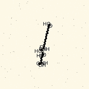 O=C(O)CCCCCCCCCCCCCCCCC(=O)N[C@H](CCC(=O)NCCCC[C@H](NI)C(=O)O)C(=O)O